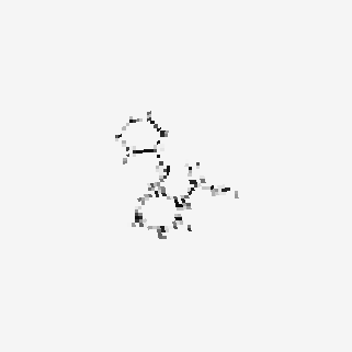 Nc1nn(C2CCCCO2)c2ccccc12